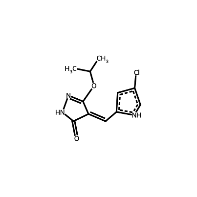 CC(C)OC1=NNC(=O)/C1=C/c1cc(Cl)c[nH]1